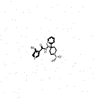 CCC[S+]([O-])N1CCC(c2ccccn2)([C@H](C)NC(=O)c2cscc2Br)CC1